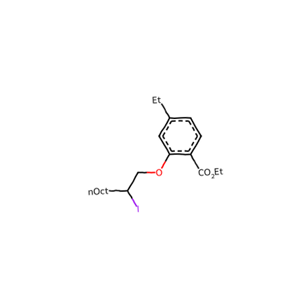 CCCCCCCCC(I)COc1cc(CC)ccc1C(=O)OCC